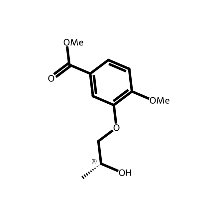 COC(=O)c1ccc(OC)c(OC[C@@H](C)O)c1